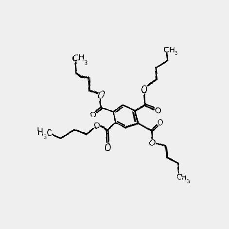 CCCCOC(=O)c1cc(C(=O)OCCCC)c(C(=O)OCCCC)cc1C(=O)OCCCC